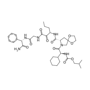 CCCC(NC(=O)[C@@H]1CC2(CN1C(=O)[C@@H](NC(=O)OCC(C)C)C1CCCCC1)OCCO2)C(=O)C(=O)NCC(=O)N[C@H](C(N)=O)c1ccccc1